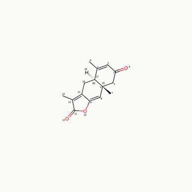 CC1=CC(=O)C[C@]2(C)C=C3OC(=O)C(C)=C3C[C@@H]12